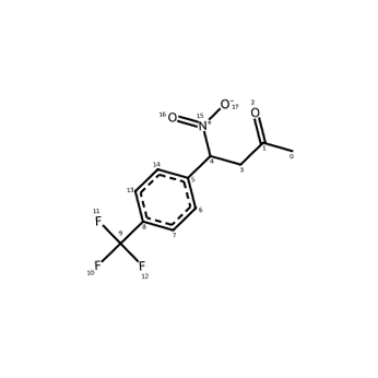 CC(=O)CC(c1ccc(C(F)(F)F)cc1)[N+](=O)[O-]